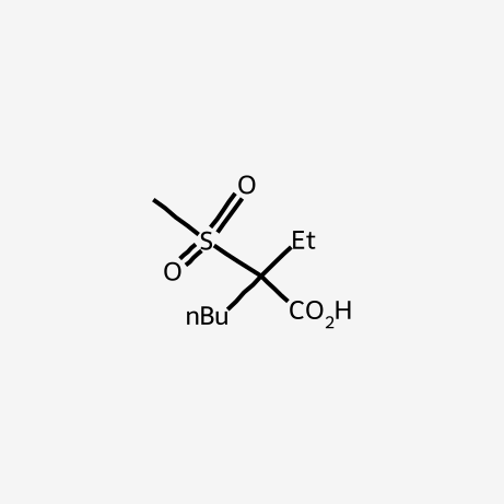 CCCCC(CC)(C(=O)O)S(C)(=O)=O